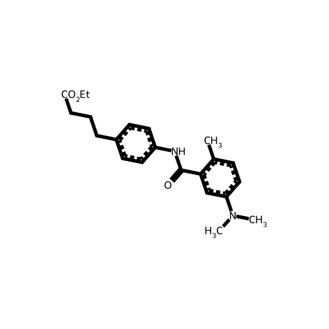 CCOC(=O)CCCc1ccc(NC(=O)c2cc(N(C)C)ccc2C)cc1